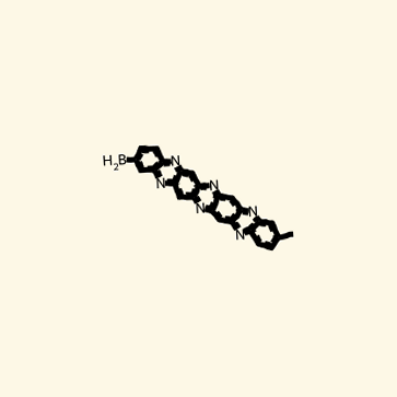 Bc1ccc2nc3cc4nc5cc6nc7cc(C)ccc7nc6cc5nc4cc3nc2c1